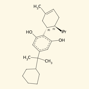 CC1=CC[C@@H](C(C)C)[C@H](c2c(O)cc(C(C)(C)C3CCCCC3)cc2O)C1